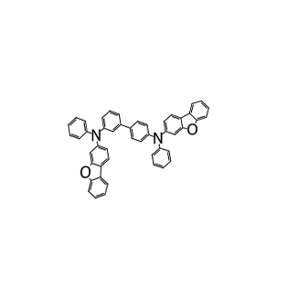 c1ccc(N(c2ccc(-c3cccc(N(c4ccccc4)c4ccc5c(c4)oc4ccccc45)c3)cc2)c2ccc3c(c2)oc2ccccc23)cc1